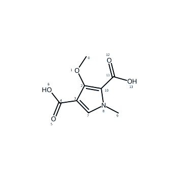 COc1c(C(=O)O)cn(C)c1C(=O)O